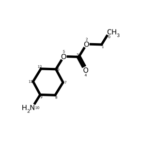 CCOC(=O)OC1CCC(N)CC1